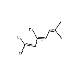 CC(C)=C/C=C(\Cl)C=C(Cl)Cl